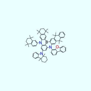 CC1(C)CCC(C)(C)c2cc(N3c4cc5c(cc4B4c6cc7c(cc6N(c6cccc8c6oc6ccccc68)c6cc(N8c9ccccc9C9(C)CCCCC89C)cc3c64)C(C)(C)c3ccccc3C7(C)C)C(C)(C)CCC5(C)C)ccc21